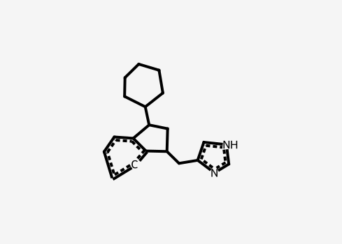 c1ccc2c(c1)C(Cc1c[nH]cn1)CC2C1CCCCC1